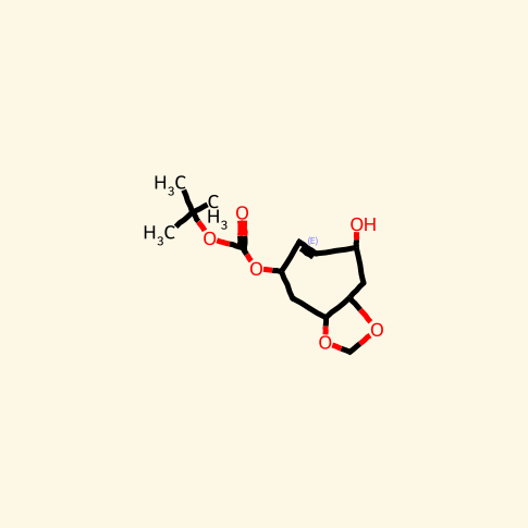 CC(C)(C)OC(=O)OC1/C=C/C(O)CC2OCOC2C1